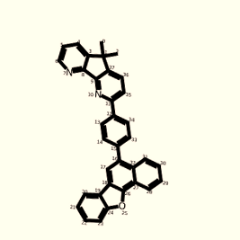 CC1(C)c2cccnc2-c2nc(-c3ccc(-c4cc5c6ccccc6oc5c5ccccc45)cc3)ccc21